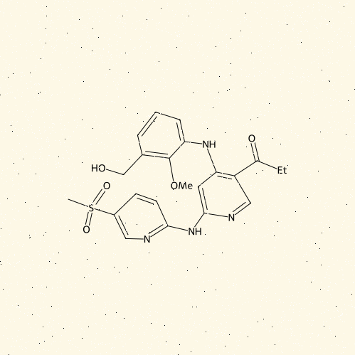 CCC(=O)c1cnc(Nc2ccc(S(C)(=O)=O)cn2)cc1Nc1cccc(CO)c1OC